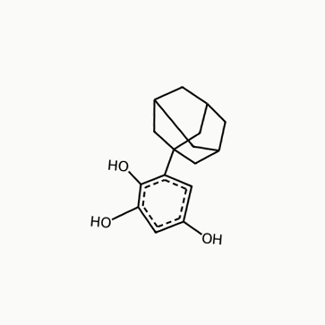 Oc1cc(O)c(O)c(C23CC4CC(CC(C4)C2)C3)c1